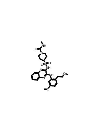 CNC(=O)N1CCC(S(=O)(=O)Nc2nc3ccccc3nc2Nc2cc(OC)ccc2CCOC)CC1